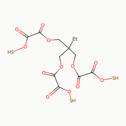 CCC(COC(=O)C(=O)OS)(COC(=O)C(=O)OS)COC(=O)C(=O)OS